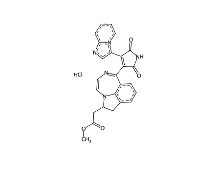 COC(=O)CC1Cc2cccc3c2N1C=CN=C3C1=C(c2cnc3ccccn23)C(=O)NC1=O.Cl